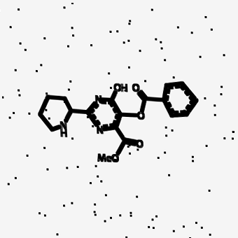 COC(=O)c1nc(C2CCCCN2)nc(O)c1OC(=O)c1ccccc1